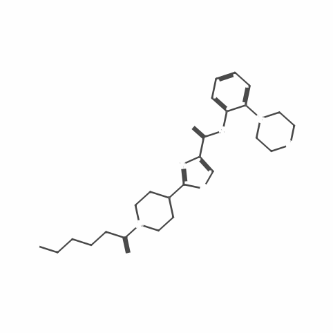 CCCCCC(=O)N1CCC(c2nc(C(=O)Nc3ccccc3N3CCOCC3)cs2)CC1